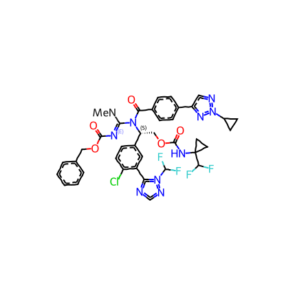 CN/C(=N\C(=O)OCc1ccccc1)N(C(=O)c1ccc(-c2cnn(C3CC3)n2)cc1)[C@H](COC(=O)NC1(C(F)F)CC1)c1ccc(Cl)c(-c2ncnn2C(F)F)c1